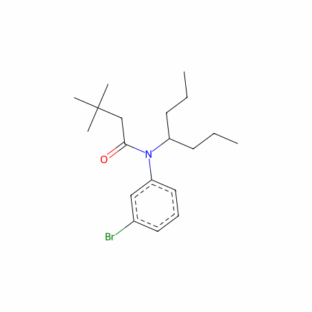 CCCC(CCC)N(C(=O)CC(C)(C)C)c1cccc(Br)c1